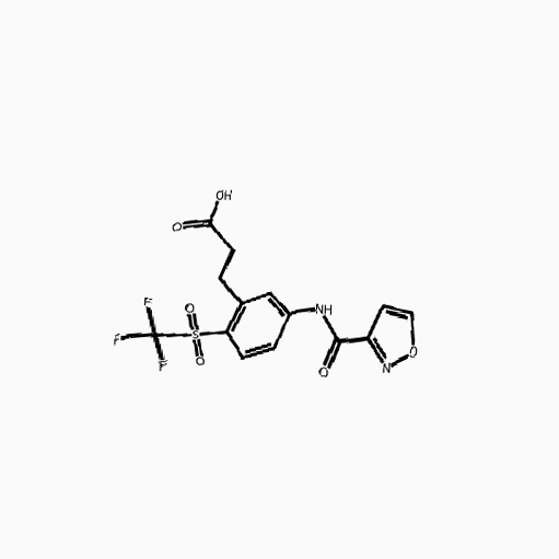 O=C(O)CCc1cc(NC(=O)c2ccon2)ccc1S(=O)(=O)C(F)(F)F